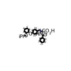 CC(C)Oc1ccccc1Oc1ccc(/C=C(\NC(=O)c2ccccc2)C(=O)O)cc1